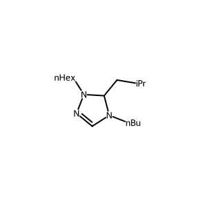 CCCCCCN1N=CN(CCCC)C1CC(C)C